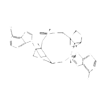 Nc1ncnc2c1ncn2[C@@H]1O[C@@]23CO[C@@H]1[C@@H]2O[P@@](=O)(S)OC[C@H]1O[C@]2(n4cnc5c(N)ncnc54)CO[C@H]1[C@H]2C[P@@](=O)(S)OC3